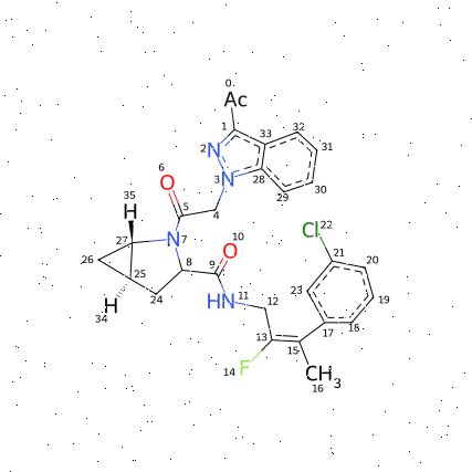 CC(=O)c1nn(CC(=O)N2C(C(=O)NCC(F)=C(C)c3cccc(Cl)c3)C[C@H]3C[C@@H]32)c2ccccc12